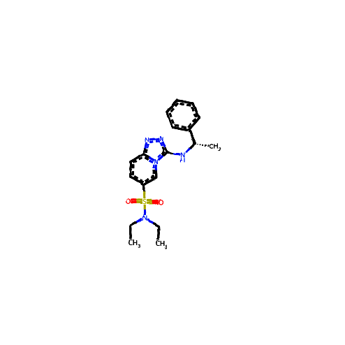 CCN(CC)S(=O)(=O)c1ccc2nnc(N[C@@H](C)c3ccccc3)n2c1